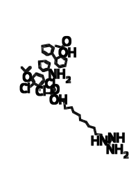 C=C(C)Oc1ccc(Cl)c(Cl)c1Cl.CC(=O)O.CC(=O)O.CCCCCCCCCCCCNC(=N)N.Nc1ccccc1.c1ccc(-c2ccccc2)cc1